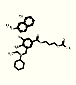 C.CCN(Cc1cc(C(=O)OCCCOC(C)=O)cc(Br)c1N)C1CCCCC1.COc1ccc2ccccc2c1